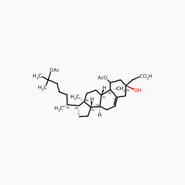 CC(=O)OC1C[C@](O)(CC(=O)O)CC2=CC[C@H]3[C@@H]4CC[C@H]([C@H](C)CCCC(C)(C)OC(C)=O)[C@@]4(C)CC[C@@H]3[C@]21C